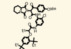 CCC(Oc1ccc(C(C)(C)CC)cc1C(C)(C)CC)C(=O)Nc1ccc(Cl)c(NC(=O)C(C(=O)c2ccc(OC)cc2)N2C(=O)C3CCCCN3C2=O)c1